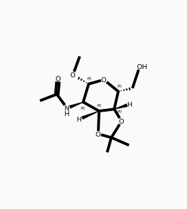 CO[C@@H]1O[C@H](CO)[C@@H]2OC(C)(C)O[C@@H]2[C@H]1NC(C)=O